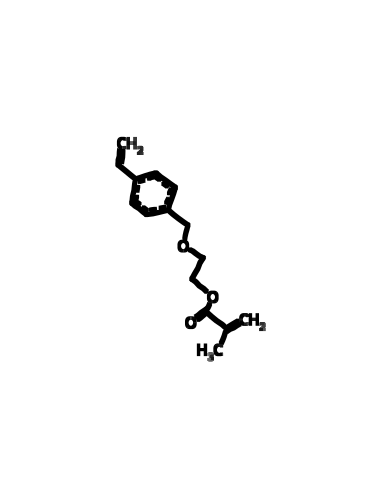 C=Cc1ccc(COCCOC(=O)C(=C)C)cc1